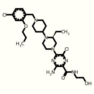 CCCOc1cc(Cl)ccc1CN1CCC(N2CCN(c3nc(N)c(C(=O)NCCO)nc3Cl)C[C@@H]2CC)CC1